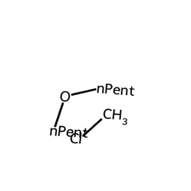 CCCCCOCCCCC.CCl